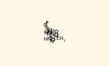 Cc1cc2c(c(NC(=O)NS(=O)(=O)C3CC(OC4CC4)C3)c1-c1ccnc3[nH]ccc13)CCC2